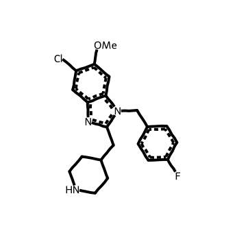 COc1cc2c(cc1Cl)nc(CC1CCNCC1)n2Cc1ccc(F)cc1